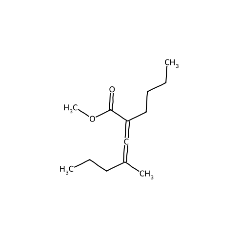 CCCCC(=C=C(C)CCC)C(=O)OC